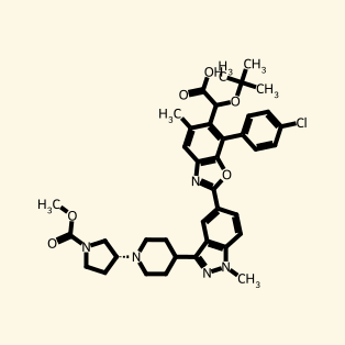 COC(=O)N1CC[C@@H](N2CCC(c3nn(C)c4ccc(-c5nc6cc(C)c(C(OC(C)(C)C)C(=O)O)c(-c7ccc(Cl)cc7)c6o5)cc34)CC2)C1